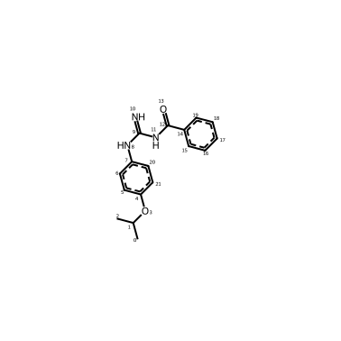 CC(C)Oc1ccc(NC(=N)NC(=O)c2ccccc2)cc1